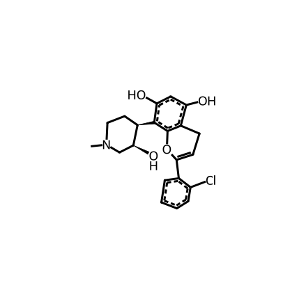 CN1CC[C@@H](c2c(O)cc(O)c3c2OC(c2ccccc2Cl)=CC3)[C@@H](O)C1